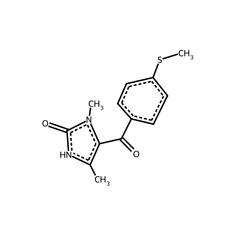 CSc1ccc(C(=O)c2c(C)[nH]c(=O)n2C)cc1